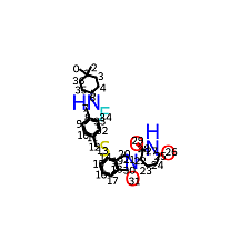 CC1(C)CCC(NCc2ccc(CSc3cccc4c3CN(C3CCC(=O)NC3=O)C4=O)cc2F)CC1